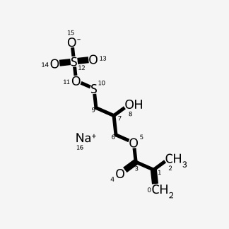 C=C(C)C(=O)OCC(O)CSOS(=O)(=O)[O-].[Na+]